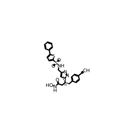 C#Cc1ccc(C[C@@H](CC(=O)NO)n2cc(CNS(=O)(=O)c3ccc(-c4ccccc4)s3)nn2)cc1